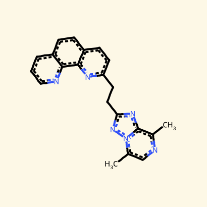 Cc1ncc(C)n2nc(CCc3ccc4ccc5cccnc5c4n3)nc12